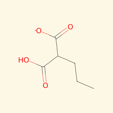 CCCC(C([O])=O)C(=O)O